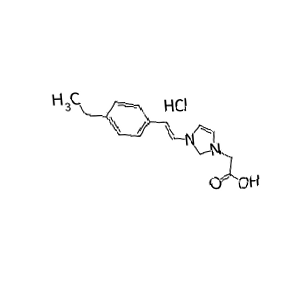 CCc1ccc(C=CN2C=CN(CC(=O)O)C2)cc1.Cl